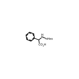 CCCCCCNC(C(=O)O)c1ccccc1